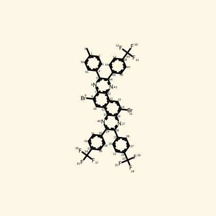 Cc1ccc(-c2nc3c(Br)cc4c(cc(Br)c5nc(-c6ccc(C(F)(F)F)cc6)c(-c6ccc(C(F)(F)F)cc6)nc54)c3nc2-c2ccc(C(F)(F)F)cc2)cc1